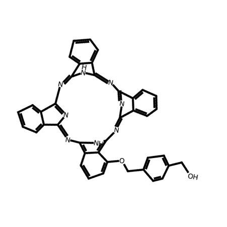 OCc1ccc(COc2cccc3c4nc5nc(nc6[nH]c(nc7nc(nc([nH]4)c23)-c2ccccc2-7)c2ccccc62)-c2ccccc2-5)cc1